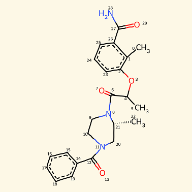 Cc1c(OC(C)C(=O)N2CCN(C(=O)c3ccccc3)C[C@H]2C)cccc1C(N)=O